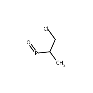 [CH2]C(CCl)P=O